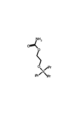 CC(C)[Si](OCCOC(N)=O)(C(C)C)C(C)C